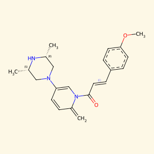 C=C1C=CC(N2C[C@@H](C)N[C@@H](C)C2)=CN1C(=O)/C=C/c1ccc(OC)cc1